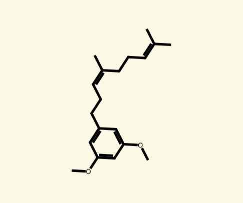 COc1cc(CCC=C(C)CCC=C(C)C)cc(OC)c1